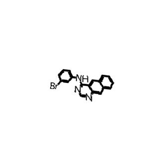 Brc1cccc(Nc2ncnc3cc4ccccc4cc23)c1